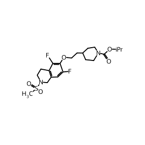 CC(C)OC(=O)N1CCC(CCOc2c(F)cc3c(c2F)CCN(S(C)(=O)=O)C3)CC1